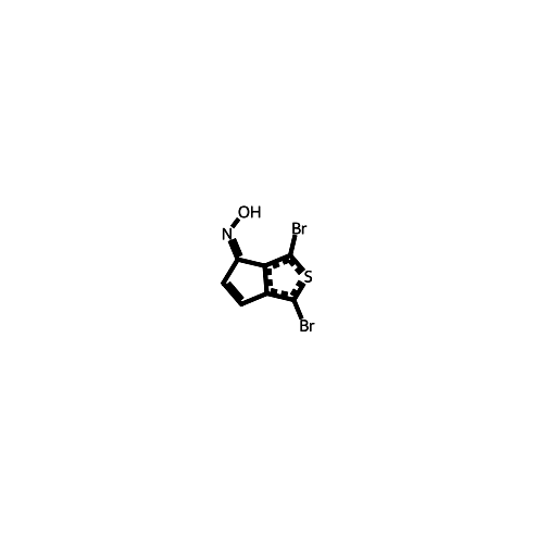 ON=C1C=Cc2c(Br)sc(Br)c21